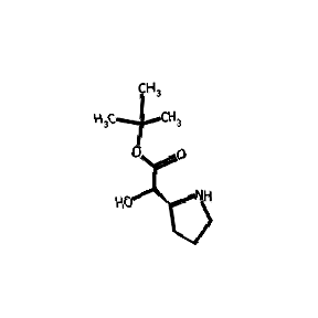 CC(C)(C)OC(=O)C(O)[C@@H]1CCCN1